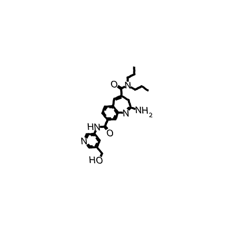 CCCN(CCC)C(=O)C1=Cc2ccc(C(=O)Nc3cncc(CO)c3)cc2N=C(N)C1